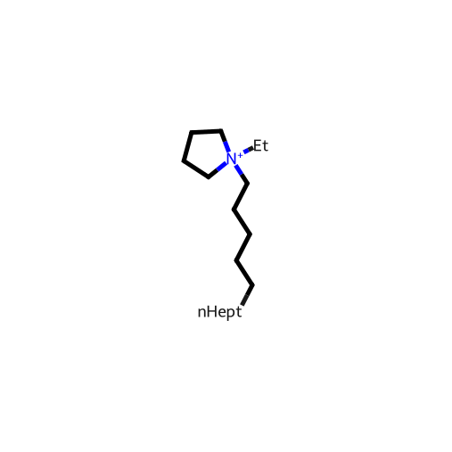 CCCCCCCCCCCC[N+]1(CC)CCCC1